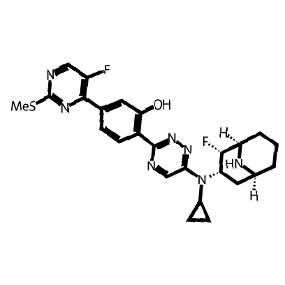 CSc1ncc(F)c(-c2ccc(-c3ncc(N(C4CC4)[C@H]4C[C@@H]5CCC[C@@H](N5)[C@H]4F)nn3)c(O)c2)n1